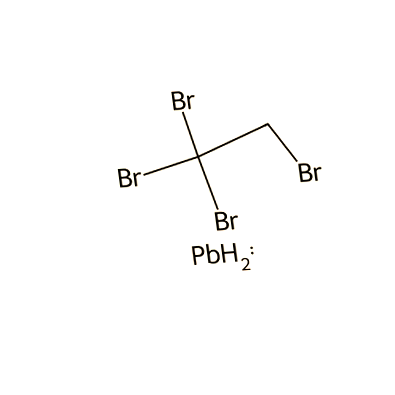 BrCC(Br)(Br)Br.[PbH2]